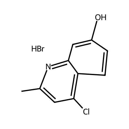 Br.Cc1cc(Cl)c2ccc(O)cc2n1